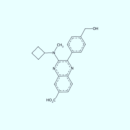 CN(c1nc2cc(C(=O)O)ccc2nc1-c1ccc(CO)cc1)C1CCC1